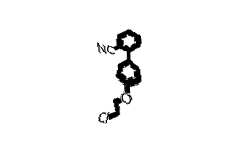 N#Cc1ccccc1-c1ccc(OCCCl)cc1